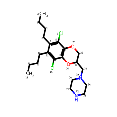 CCCCc1c(Cl)c2c(c(Cl)c1CCCC)OC(CN1CCNCC1)CO2